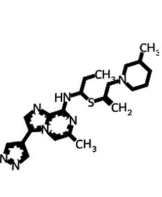 C=C(CN1CCCC(C)C1)SC(CC)Nc1nc(C)cn2c(-c3cn[nH]c3)cnc12